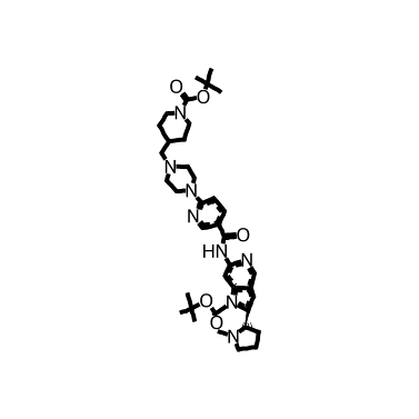 CN1CCC[C@@H]1c1cc2cnc(NC(=O)c3ccc(N4CCN(CC5CCN(C(=O)OC(C)(C)C)CC5)CC4)nc3)cc2n1C(=O)OC(C)(C)C